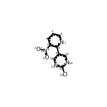 O=[N+]([O-])c1cccnc1-c1cnc(Cl)nc1